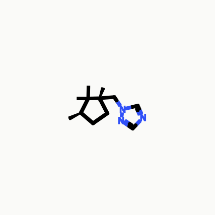 C[C@@H]1CC[C@@](C)(Cn2cncn2)C1(C)C